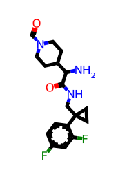 NC(C(=O)NCC1(c2ccc(F)cc2F)CC1)C1CCN(C=O)CC1